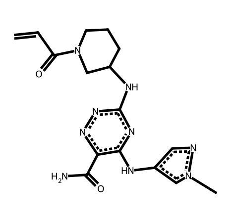 C=CC(=O)N1CCCC(Nc2nnc(C(N)=O)c(Nc3cnn(C)c3)n2)C1